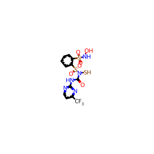 O=C(Nc1nccc(C(F)(F)F)n1)N(S)S(=O)(=O)c1ccccc1S(=O)(=O)NO